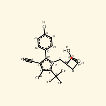 N#Cc1c(Cl)c(C(F)(F)F)n(CC2(C(=O)O)CCC2)c1-c1ccc(Cl)cc1